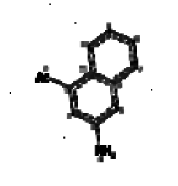 CC(=O)c1cc(N)cc2ccccc12